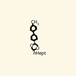 CCCCCCC[C@@H]1CO[C@@H](c2ccc(-c3ccc(C)cc3)cc2)CO1